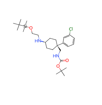 CC(C)(C)OC(=O)NC[C@]1(c2cccc(Cl)c2)CC[C@H](NCCO[Si](C)(C)C(C)(C)C)CC1